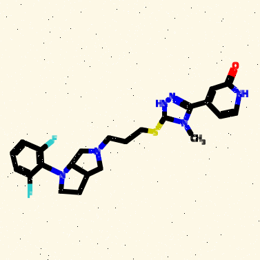 CN1C(c2cc[nH]c(=O)c2)=NNC1SCCCN1CC2CCN(c3c(F)cccc3F)C2C1